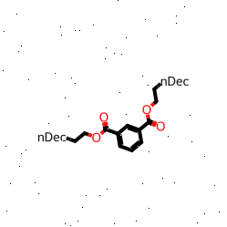 CCCCCCCCCCCCOC(=O)c1cccc(C(=O)OCCCCCCCCCCCC)c1